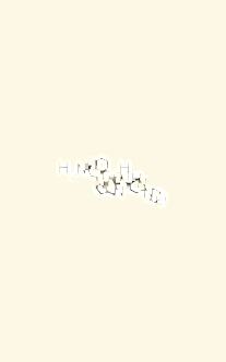 NC(=O)CC(n1ccc2cnc(Nc3ccc(N4CCOCC4)nc3)nc21)C1(C(=O)O)CCCCC1